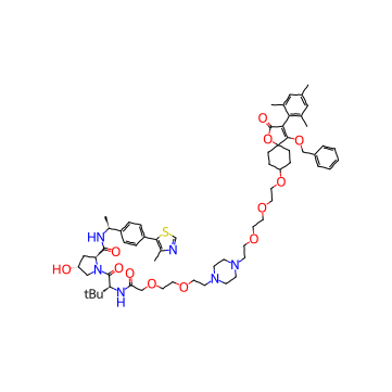 Cc1cc(C)c(C2=C(OCc3ccccc3)C3(CCC(OCCOCCOCCN4CCN(CCOCCOCC(=O)N[C@H](C(=O)N5C[C@H](O)C[C@H]5C(=O)N[C@@H](C)c5ccc(-c6scnc6C)cc5)C(C)(C)C)CC4)CC3)OC2=O)c(C)c1